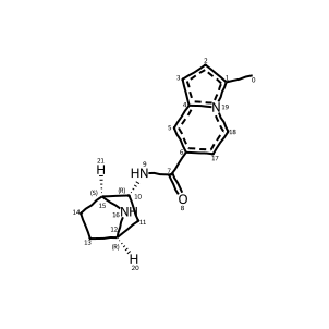 Cc1ccc2cc(C(=O)N[C@@H]3C[C@H]4CC[C@@H]3N4)ccn12